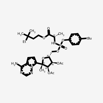 CCC(C)(C)CCOC(=O)[C@H](C)NP(=O)(OC[C@H]1O[C@@](C)(c2ccc3c(N)ncnn23)[C@H](OC(C)=O)[C@@H]1OC(C)=O)Oc1ccc(C(C)(C)C)cc1